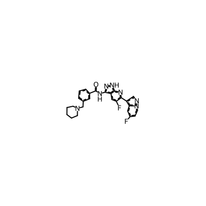 O=C(Nc1n[nH]c2nc(-c3cnn4ccc(F)cc34)c(F)cc12)c1cccc(CN2CCCCC2)c1